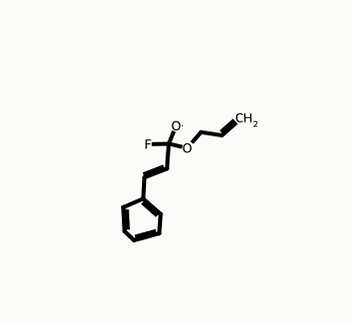 C=CCOC([O])(F)C=Cc1ccccc1